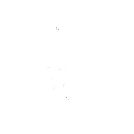 C=C/C(C)=C\N(C)C(C(=O)N1CCC[C@H]1C(=O)N[C@@H](C)c1ccc(-c2scnc2C)cc1)C(C)C